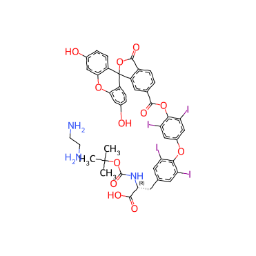 CC(C)(C)OC(=O)N[C@H](Cc1cc(I)c(Oc2cc(I)c(OC(=O)c3ccc4c(c3)C3(OC4=O)c4ccc(O)cc4Oc4cc(O)ccc43)c(I)c2)c(I)c1)C(=O)O.NCCN